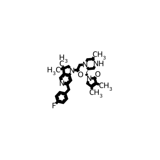 CC1=C(C)C(=O)N(C[C@H]2CNC(C)CN2CC(=O)N2CC(C)(C)c3cnc(Cc4ccc(F)cc4)cc32)C1